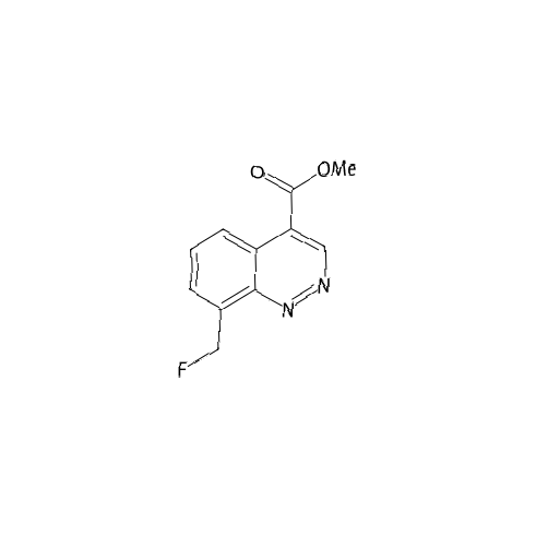 COC(=O)c1cnnc2c(CF)cccc12